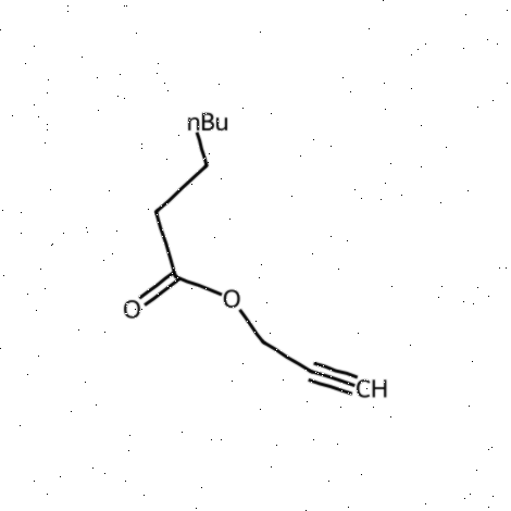 C#CCOC(=O)CCCCC[CH2]